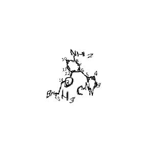 Cn1nccc1-c1cc(N)ccc1OCCBr